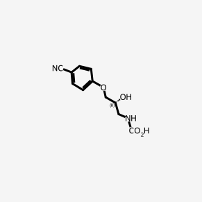 N#Cc1ccc(OC[C@H](O)CNC(=O)O)cc1